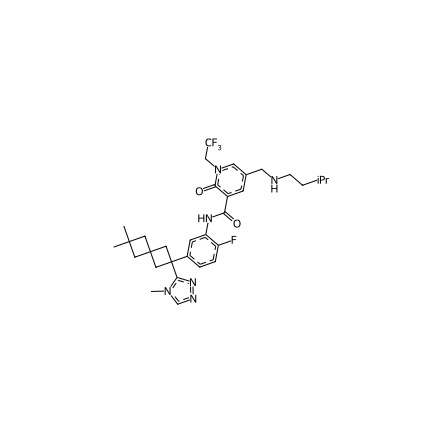 CC(C)CCNCc1cc(C(=O)Nc2cc(C3(c4nncn4C)CC4(CC(C)(C)C4)C3)ccc2F)c(=O)n(CC(F)(F)F)c1